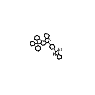 CCn1c(-c2ccc(-c3nc4ccccc4c4c5c(ccc34)C(c3ccccc3)(c3ccccc3)c3ccccc3-5)cc2)nc2ccccc21